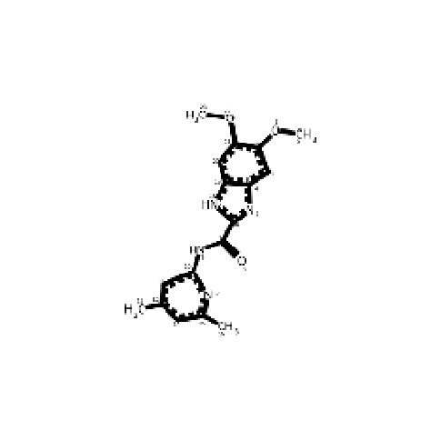 COc1cc2nc(C(=O)Nc3cc(C)cc(C)n3)[nH]c2cc1OC